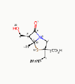 CNCC1(C(=O)O)CN2C(=O)[C@H](CO)[C@H]2S1